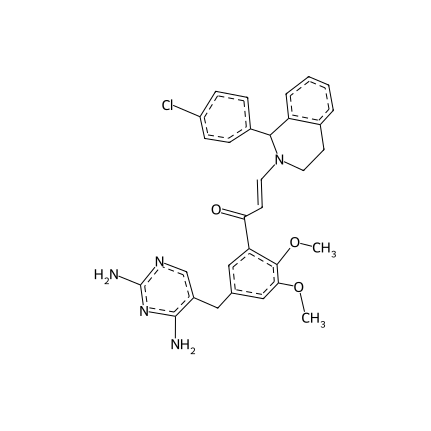 COc1cc(Cc2cnc(N)nc2N)cc(C(=O)/C=C/N2CCc3ccccc3C2c2ccc(Cl)cc2)c1OC